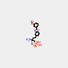 CCOc1cccc(-c2nc3cc(CC[C@@](C)(N)COP(=O)(O)O)ccc3o2)c1